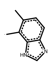 [CH2]c1c(C)ccc2nc[nH]c12